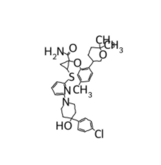 Cc1ccc(C2CCC(C)(C)OC2)c(OC2(C(N)=O)CC2Sc2cccc(N3CCC(O)(c4ccc(Cl)cc4)CC3)n2)c1